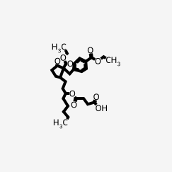 CCCCCC(CCC1CCC(=O)C1(Cc1ccc(C(=O)OCC)cc1)C(=O)OCC)OC(=O)CCC(=O)O